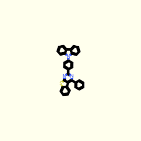 c1ccc(-c2nc(-c3ccc(-n4c5ccccc5c5ccccc54)cc3)nc3sc4ccccc4c23)cc1